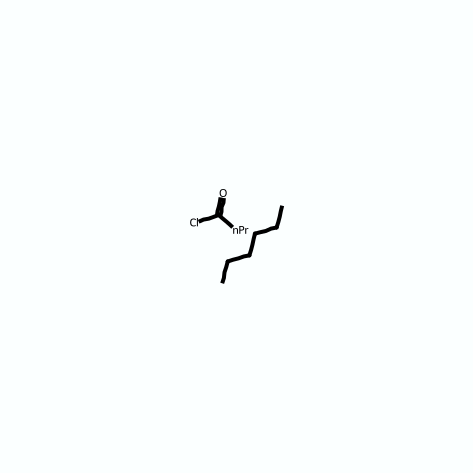 CCCC(=O)Cl.CCCCCC